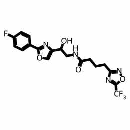 O=C(CCCc1noc(C(F)(F)F)n1)NCC(O)c1coc(-c2ccc(F)cc2)n1